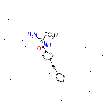 NC[C@H](NC(=O)c1ccc(C#Cc2ccccc2)cc1)C(=O)O